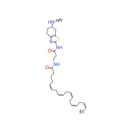 CC/C=C\C/C=C\C/C=C\C/C=C\C/C=C\CCCC(=O)NCCC(=O)Nc1nc2c(s1)C[C@H](NCCC)CC2